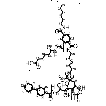 CCCSCCNC(=O)c1ccc(C(=O)NCCSCCCO[C@]2(C(=O)OC)C[C@H](O)[C@@H](NC(C)=O)[C@H]([C@H](O)[C@H](O)CNC(=O)c3ccc(-c4ccccc4)cc3)O2)c(OCNC(=O)CCCCC(=O)O)c1